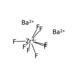 [Ba+2].[Ba+2].[F][Zr-4]([F])([F])([F])([F])([F])([F])[F]